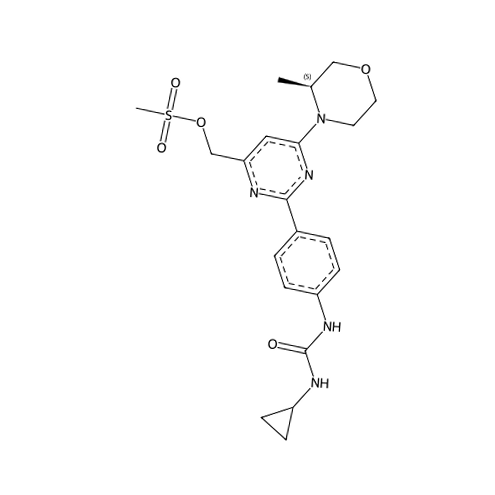 C[C@H]1COCCN1c1cc(COS(C)(=O)=O)nc(-c2ccc(NC(=O)NC3CC3)cc2)n1